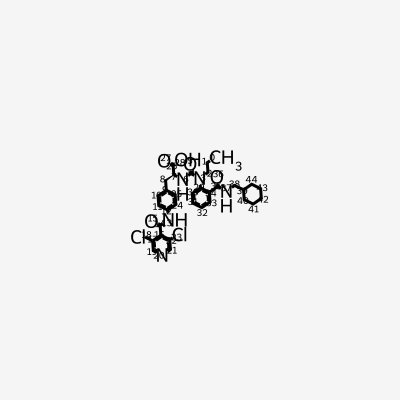 CCCN(C(=O)N[C@@H](Cc1ccc(NC(=O)c2c(Cl)cncc2Cl)cc1)C(=O)O)c1ccccc1C(=O)NCC1CCCCC1